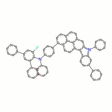 Fc1cc(-c2ccccc2)cc(-c2ccccc2)c1N(c1ccccc1)c1ccc(-c2ccc3ccc4cc5c(c6ccc2c3c46)c2ccc(-c3ccccc3)cc2n5-c2ccccc2)cc1